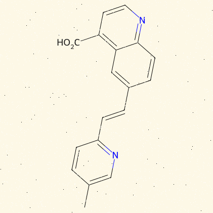 Cc1ccc(C=Cc2ccc3nccc(C(=O)O)c3c2)nc1